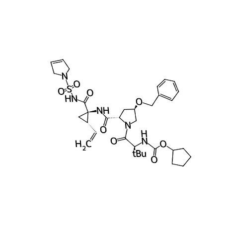 C=C[C@@H]1C[C@]1(NC(=O)[C@@H]1C[C@@H](OCc2ccccc2)CN1C(=O)[C@@H](NC(=O)OC1CCCC1)C(C)(C)C)C(=O)NS(=O)(=O)N1CC=CC1